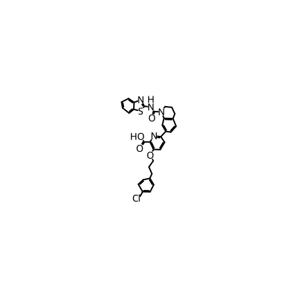 O=C(O)c1nc(-c2ccc3c(c2)N(C(=O)Nc2nc4ccccc4s2)CCC3)ccc1OCCCc1ccc(Cl)cc1